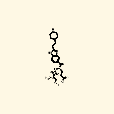 CC[C@H](C)S(=O)(=O)NN(CCC(=O)O)C(=O)c1ccc2[nH]c(CCC3CCNCC3)nc2c1